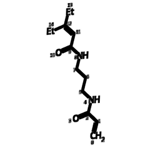 C=CC(=O)NCCCNC(=O)C=C(CC)CC